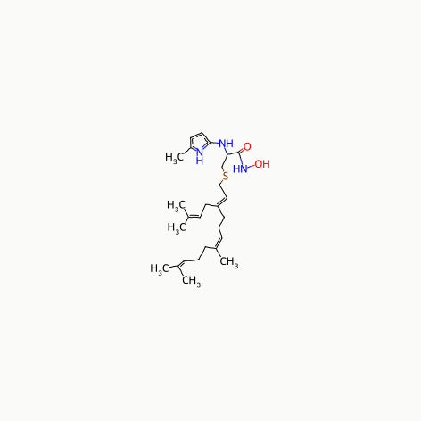 CC(C)=CCCC(C)=CCCC(=CCSCC(Nc1ccc(C)[nH]1)C(=O)NO)CC=C(C)C